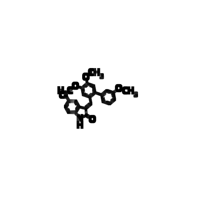 COc1cccc(-c2cc(OC)c(OC)cc2/C=C2/C(=O)Nc3ccc(Cl)cc32)c1